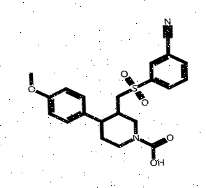 COc1ccc(C2CCN(C(=O)O)CC2CS(=O)(=O)c2cccc(C#N)c2)cc1